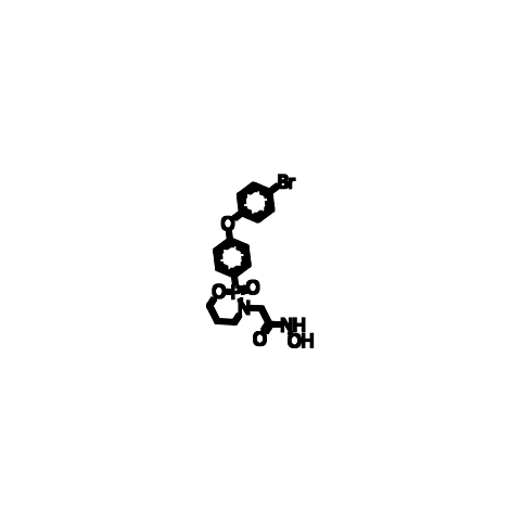 O=C(CN1CCCOP1(=O)c1ccc(Oc2ccc(Br)cc2)cc1)NO